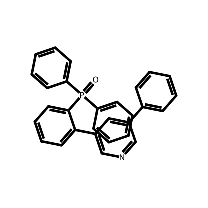 O=P(c1ccccc1)(c1ccccc1)c1ccccc1-c1cncc(-c2ccccc2)c1